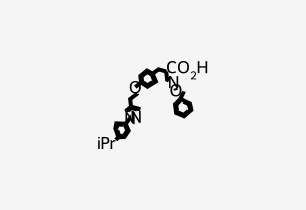 CC(C)c1ccc(-n2cc(CCOc3ccc(CC(C=NOCc4ccccc4)C(=O)O)cc3)cn2)cc1